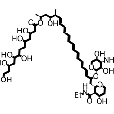 CCNC(=O)[C@H]1[C@H](CC(/C=C/C=C/C=C/C=C/C=C/C=C/C=C/[C@H](C)[C@@H](O)C[C@H](C)OC(=O)CC(O)CC(O)CCC(O)C(O)CC(O)CCO)O[C@@H]2OC[C@@H](O)[C@H](N)[C@@H]2O)OCC[C@@H]1O